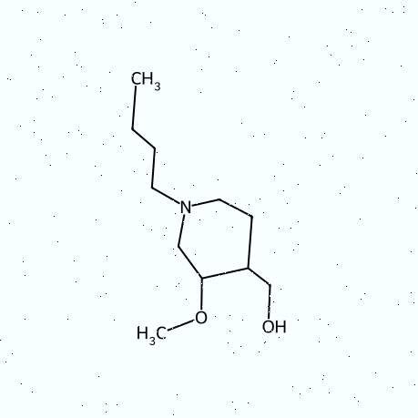 CCCCN1CCC(CO)C(OC)C1